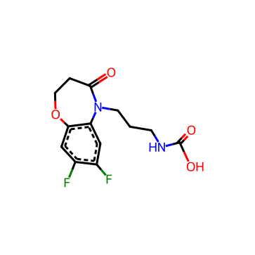 O=C(O)NCCCN1C(=O)CCOc2cc(F)c(F)cc21